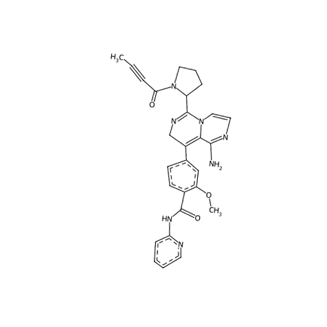 CC#CC(=O)N1CCCC1C1=NCC(c2ccc(C(=O)Nc3ccccn3)c(OC)c2)=C2C(N)=NC=CN12